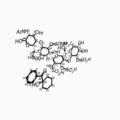 CC(=O)N[C@@H]1[C@@H](O)[C@H](O[C@@H]2O[C@H](C(=O)O)[C@@H](O[C@@H]3O[C@H](CO)[C@@H](O[C@H]4O[C@@H](C(=O)O)[C@H](O)[C@@H](O)[C@@H]4OS(=O)(=O)O)[C@H](OS(=O)(=O)O)[C@H]3NS(=O)(=O)O)[C@H](O)[C@H]2OS(=O)(=O)O)[C@H](COS(=O)(=O)O)O[C@H]1O.O=C(c1ccccc1)C1(O)CCCCC1